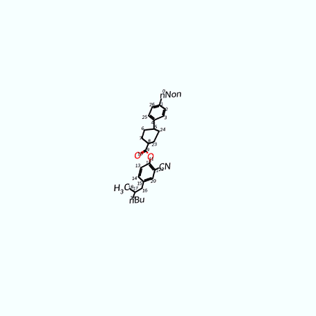 CCCCCCCCCc1ccc(C2CCC(C(=O)Oc3ccc(CC(C)CCCC)cc3C#N)CC2)cc1